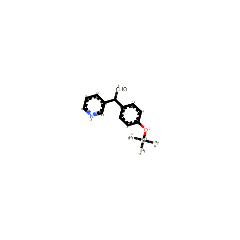 CC(C)[Si](Oc1ccc(C(C=O)c2cccnc2)cc1)(C(C)C)C(C)C